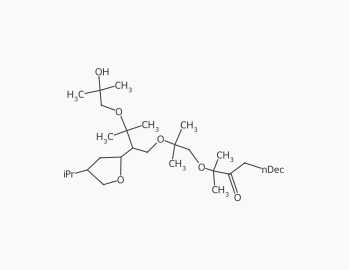 CCCCCCCCCCCC(=O)C(C)(C)OCC(C)(C)OCC(C1CC(C(C)C)CO1)C(C)(C)OCC(C)(C)O